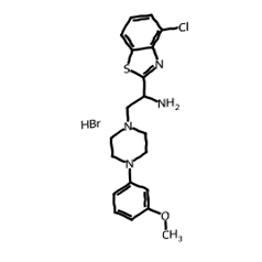 Br.COc1cccc(N2CCN(CC(N)c3nc4c(Cl)cccc4s3)CC2)c1